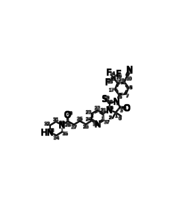 CC1(C)C(=O)N(c2ccc(C#N)c(C(F)(F)F)c2)C(=S)N1c1ccc(CCCC(=O)N2CCNCC2)nc1